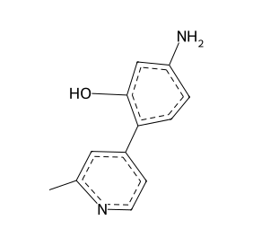 Cc1cc(-c2ccc(N)cc2O)ccn1